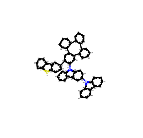 c1ccc2c(c1)-c1ccccc1-c1cc(-c3ccc4sc5ccccc5c4c3)c(-n3c4ccccc4c4cc(-n5c6ccccc6c6ccccc65)ccc43)cc1-c1ccccc1-2